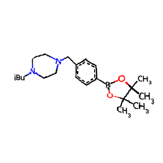 CCC(C)N1CCN(Cc2ccc(B3OC(C)(C)C(C)(C)O3)cc2)CC1